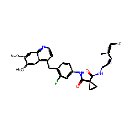 CC/C=C(C)\C=C/CNC(=O)C1(C(=O)Nc2ccc(Cc3ccnc4cc(OC)c(OC)cc34)c(F)c2)CC1